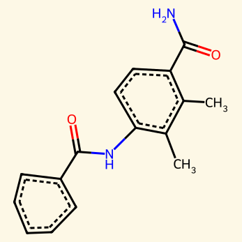 Cc1c(NC(=O)c2ccccc2)ccc(C(N)=O)c1C